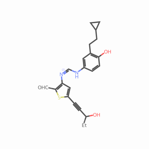 CCC(O)C#Cc1cc(/N=C\Nc2ccc(O)c(CCC3CC3)c2)c(C=O)s1